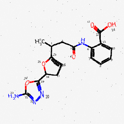 CC(CC(=O)Nc1ccccc1C(=O)O)C1=CCC(c2nnc(N)o2)O1